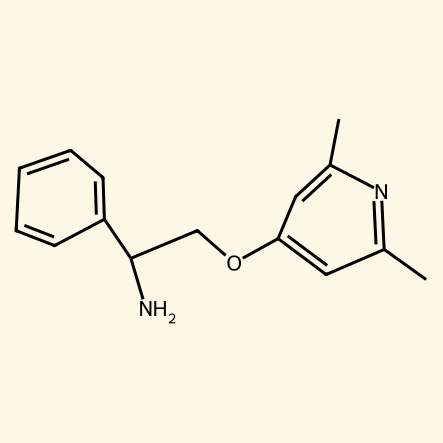 Cc1cc(OCC(N)c2ccccc2)cc(C)n1